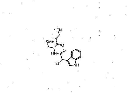 CCC(C(=O)NC(CSC)C(=O)NCC#N)c1c[nH]c2ccccc12